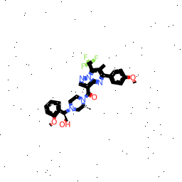 COc1ccc(-c2nc3c(C(=O)N4CCN([C@@H](CO)c5ccccc5OC)C[C@H]4C)cnn3c(C(F)(F)F)c2C)cc1